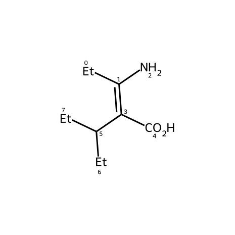 CCC(N)=C(C(=O)O)C(CC)CC